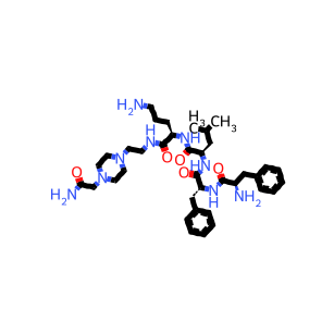 CC(C)C[C@@H](NC(=O)[C@@H](Cc1ccccc1)NC(=O)[C@H](N)Cc1ccccc1)C(=O)N[C@H](CCCN)C(=O)NCCN1CCN(CC(N)=O)CC1